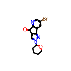 O=C1c2cn(C3CCCCO3)nc2-c2cc(Br)cnc21